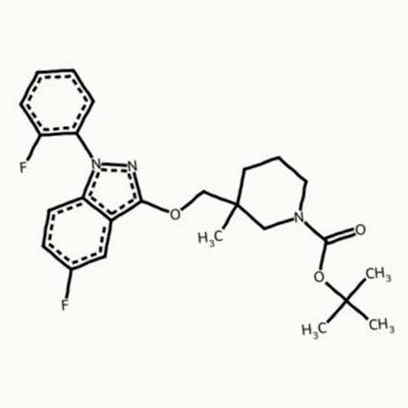 CC1(COc2nn(-c3ccccc3F)c3ccc(F)cc23)CCCN(C(=O)OC(C)(C)C)C1